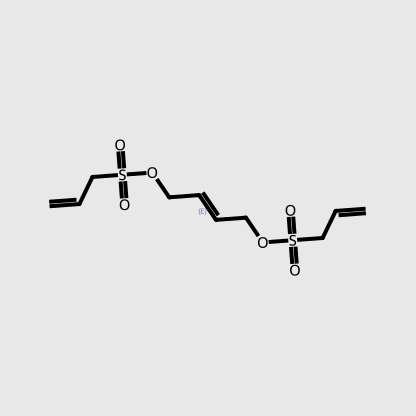 C=CCS(=O)(=O)OC/C=C/COS(=O)(=O)CC=C